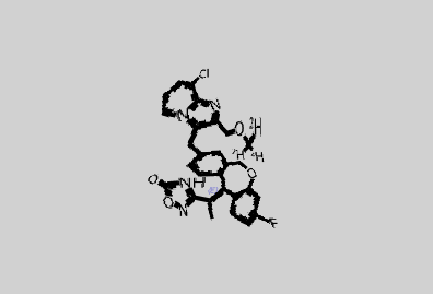 [2H]C([2H])([2H])OCc1nc2c(Cl)cccn2c1Cc1ccc2c(c1)COc1cc(F)ccc1/C2=C(\C)c1noc(=O)[nH]1